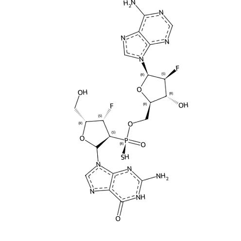 Nc1nc2c(ncn2C2O[C@H](CO)[C@H](F)[C@H]2[P@](=O)(S)OC[C@H]2O[C@@H](n3cnc4c(N)ncnc43)[C@@H](F)[C@@H]2O)c(=O)[nH]1